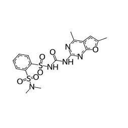 Cc1cc2c(C)nc(NC(=O)NS(=O)(=O)c3ccccc3S(=O)(=O)N(C)C)nc2o1